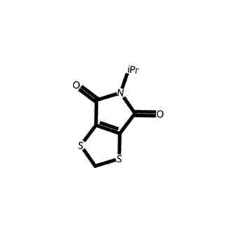 CC(C)N1C(=O)C2=C(SCS2)C1=O